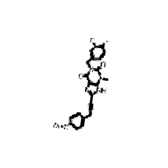 COc1ccc(CC#Cc2nc3c(=O)n(Cc4ccc(F)c(F)c4)c(=O)n(C)c3[nH]2)cc1